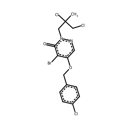 CC(Cl)(CCl)Cn1ncc(OCc2ccc(Cl)cc2)c(Br)c1=O